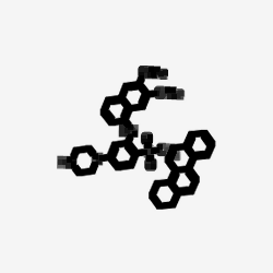 COc1cc2cccc(Nc3cc(N4CCNCC4)ccc3S(C)(=O)=O)c2cc1OC.c1ccc2c(c1)ccc1c3c(ccc12)CCCC3